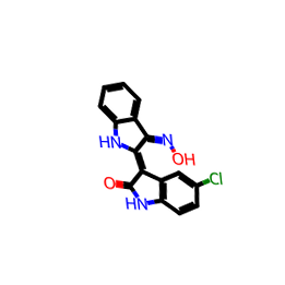 O=C1Nc2ccc(Cl)cc2/C1=C1/Nc2ccccc2/C1=N/O